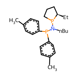 CCCCN(P(c1ccc(C)cc1)c1ccc(C)cc1)P1CCC[C@H]1CC